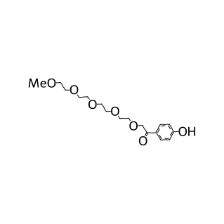 COCCOCCOCCOCCOCC(=O)c1ccc(O)cc1